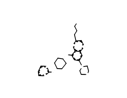 CCCCc1cnc2cc(N3CCOCC3)cc(O[C@H]3CC[C@@H](Nc4ncccn4)CC3)c2n1